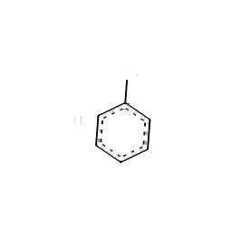 [H-].[Sn][c]1ccccc1